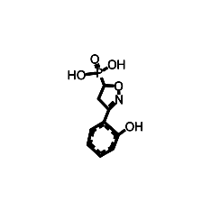 O=P(O)(O)C1CC(c2ccccc2O)=NO1